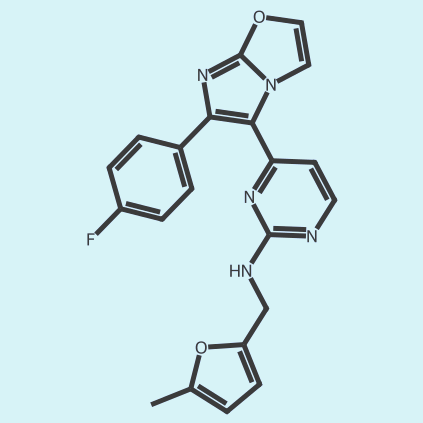 Cc1ccc(CNc2nccc(-c3c(-c4ccc(F)cc4)nc4occn34)n2)o1